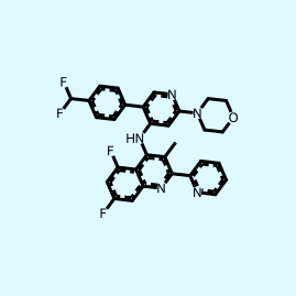 Cc1c(-c2ccccn2)nc2cc(F)cc(F)c2c1Nc1cc(N2CCOCC2)ncc1-c1ccc(C(F)F)cc1